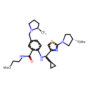 COCCNC(=O)c1cc(CN2CCC[C@H]2C(F)(F)F)ccc1NC(=C1CC1)c1csc(N2CC[C@H](OC)C2)n1